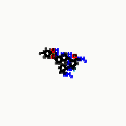 Cc1ccc(S(=O)(=O)Nc2cccc3cc(Nc4nc(NC5CCCC[C@@H]5N)c(F)cc4C(N)=O)cnc23)cc1